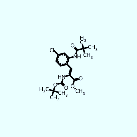 COC(=O)C(=Cc1ccc(Cl)cc1NC(=O)C(C)(C)C)NC(=O)OC(C)(C)C